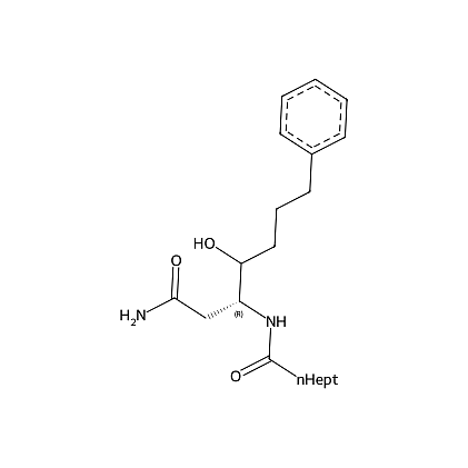 CCCCCCCC(=O)N[C@H](CC(N)=O)C(O)CCCc1ccccc1